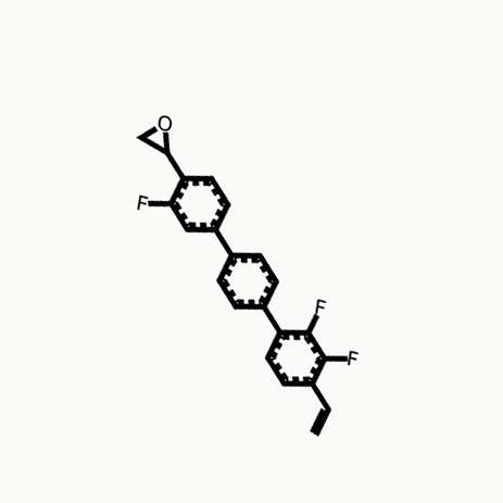 C=Cc1ccc(-c2ccc(-c3ccc(C4CO4)c(F)c3)cc2)c(F)c1F